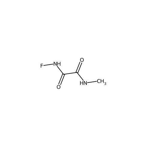 CNC(=O)C(=O)NF